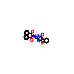 O=C1c2cccc3cccc(c23)C(=O)N1CCc1nc2sc3c(c2c(=O)[nH]1)CCCC3